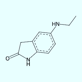 CCNc1ccc2c(c1)CC(=O)N2